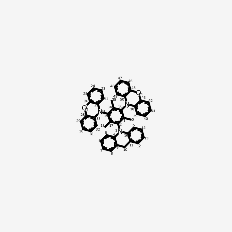 Cc1c(N2c3ccccc3Cc3ccccc32)c(C)c(N2c3ccccc3Oc3ccccc32)c(C)c1N1c2ccccc2Oc2ccccc21